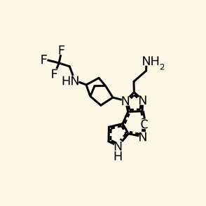 NCCc1nc2cnc3[nH]ccc3c2n1C1CC2CC1CC2NCC(F)(F)F